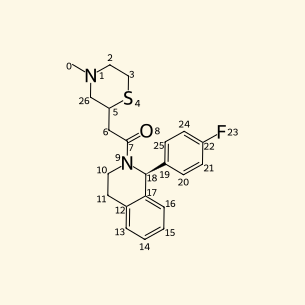 CN1CCSC(CC(=O)N2CCc3ccccc3[C@@H]2c2ccc(F)cc2)C1